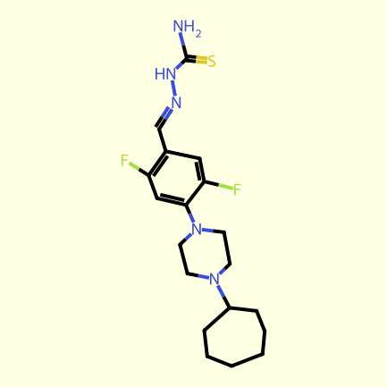 NC(=S)NN=Cc1cc(F)c(N2CCN(C3CCCCCC3)CC2)cc1F